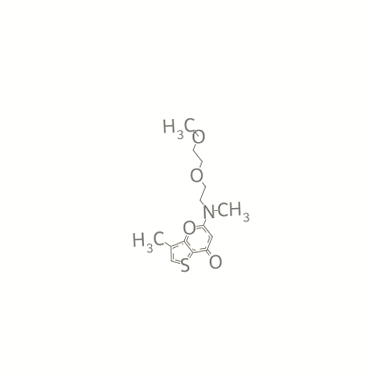 COCCOCCN(C)c1cc(=O)c2scc(C)c2o1